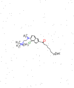 CCCCCCCCCCCCCCCC(=O)c1ccc2c(Cl)c(N(C)CC[N+](C)(C)C)ccc2c1